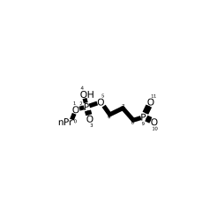 CCCOP(=O)(O)OCCCP(=O)=O